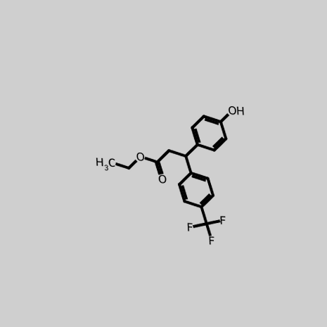 CCOC(=O)CC(c1ccc(O)cc1)c1ccc(C(F)(F)F)cc1